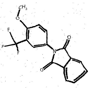 COc1ccc(N2C(=O)c3ccccc3C2=O)cc1C(F)(F)F